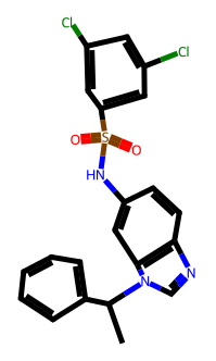 CC(c1ccccc1)n1cnc2ccc(NS(=O)(=O)c3cc(Cl)cc(Cl)c3)cc21